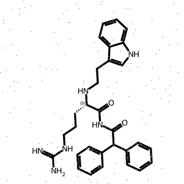 N=C(N)NCCC[C@H](NCCc1c[nH]c2ccccc12)C(=O)NC(=O)C(c1ccccc1)c1ccccc1